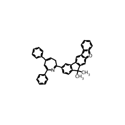 CC1(C)c2ccc(C3=NC(c4ccccc4)=CC(c4ccccc4)=CC3)cc2-c2cc3c(cc21)oc1ccccc13